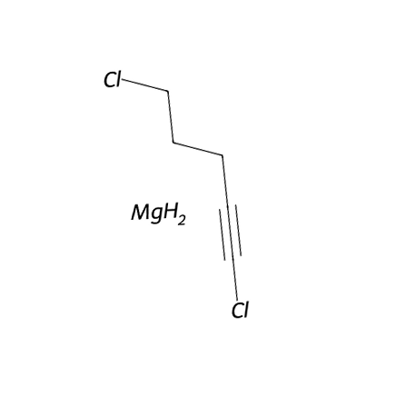 ClC#CCCCCl.[MgH2]